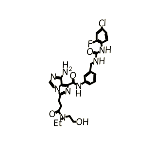 CCN(CCO)C(=O)CCc1nc(C(=O)Nc2cccc(CNC(=O)Nc3ccc(Cl)cc3F)c2)c2c(N)nccn12